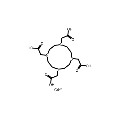 O=C(O)CN1CCN(CC(=O)O)CCN(CC(=O)O)CCN(CC(=O)O)CC1.[Gd+2]